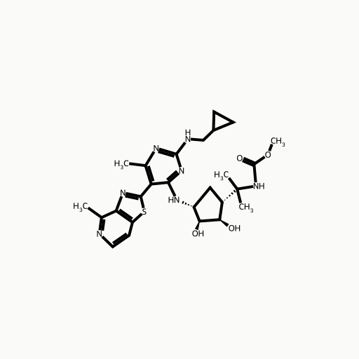 COC(=O)NC(C)(C)[C@H]1C[C@@H](Nc2nc(NCC3CC3)nc(C)c2-c2nc3c(C)nccc3s2)[C@H](O)[C@@H]1O